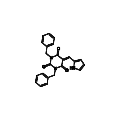 O=C1C(=Cc2ccc[nH]2)C(=O)N(Cc2ccccc2)C(=O)N1Cc1ccccc1